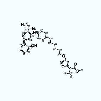 COC(=O)C(c1cc(OCCCCCCN2CCC(n3nc(N)c4nnc(-c5ccccc5O)cc43)CC2)no1)C(C)C